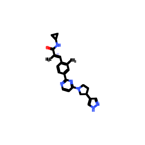 C/C(=C\c1ccc(-c2nccc(N3CCC(c4cn[nH]c4)C3)n2)cc1C)C(=O)NC1CC1